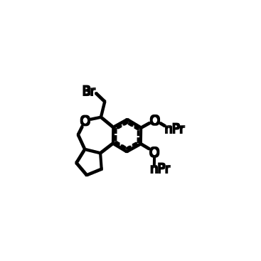 CCCOc1cc2c(cc1OCCC)C1CCCC1COC2CBr